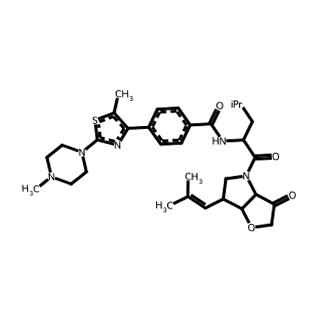 CC(C)=CC1CN(C(=O)C(CC(C)C)NC(=O)c2ccc(-c3nc(N4CCN(C)CC4)sc3C)cc2)C2C(=O)COC12